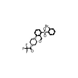 O=Cc1c(N2CCN(C(=O)C(F)(F)F)CC2)cccc1S(=O)(=O)c1ccccc1Br